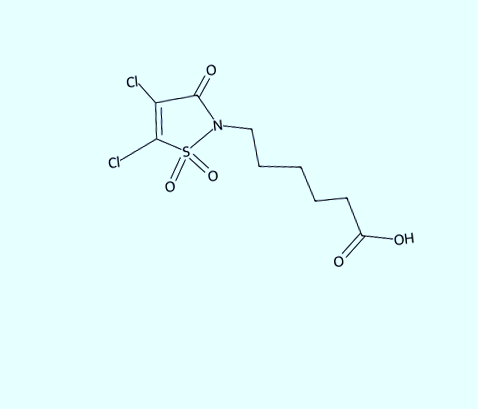 O=C(O)CCCCCN1C(=O)C(Cl)=C(Cl)S1(=O)=O